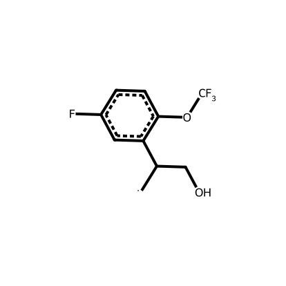 [CH2]C(CO)c1cc(F)ccc1OC(F)(F)F